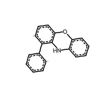 [c]1ccccc1-c1[c]ccc2c1Nc1ccccc1O2